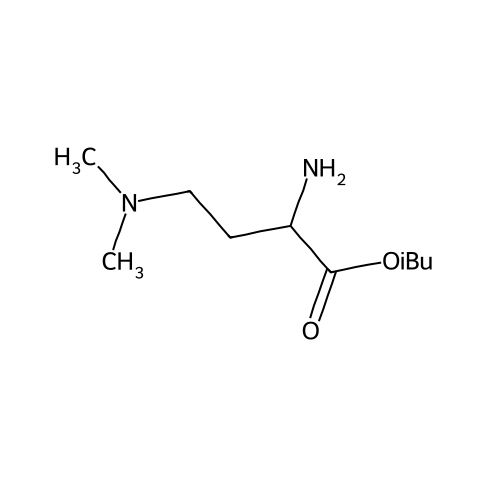 CC(C)COC(=O)C(N)CCN(C)C